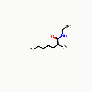 CC(C)CCCCC(C(=O)NCC(C)C)C(C)C